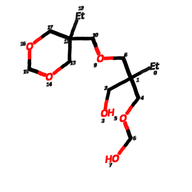 CCC(CO)(COCO)COCC1(CC)COCOC1